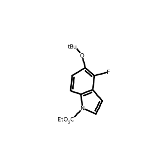 CCOC(=O)n1ccc2c(F)c(OC(C)(C)C)ccc21